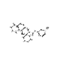 Clc1cccc(CNC2=Nc3ccc4c(c3NC23CCCCC3)OCCO4)c1